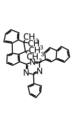 CC1(C)c2ccccc2-c2cccc(-c3nc(-c4ccccc4)nc(-c4ccc5ccccc5c4)n3)c2C1(C)C